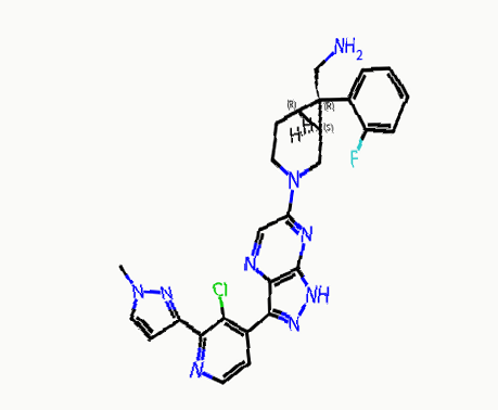 Cn1ccc(-c2nccc(-c3n[nH]c4nc(N5CC[C@@H]6[C@H](C5)[C@@]6(CN)c5ccccc5F)cnc34)c2Cl)n1